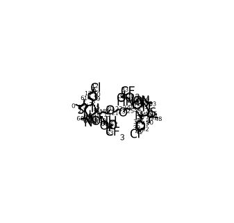 Cc1sc2c(c1C)C(c1ccc(Cl)cc1)=N[C@@H](C(CCOCCOCC[C@H](C(=O)NOC(=O)C(F)(F)F)[C@@H]1N=C(c3ccc(Cl)cc3)c3c(sc(C)c3C)-n3c(C)nnc31)C(=O)NOC(=O)C(F)(F)F)c1nnc(C)n1-2